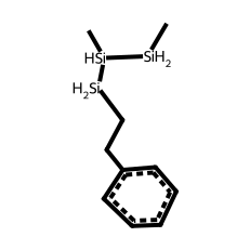 C[SiH2][SiH](C)[SiH2]CCc1ccccc1